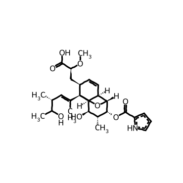 CO[C@@H](C[C@H]1C=C[C@H]2[C@H]3O[C@]1(/C(C)=C/[C@@H](C)C(C)O)[C@@H]2[C@H](O)[C@@H](C)[C@H]3OC(=O)c1ccc[nH]1)C(=O)O